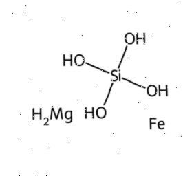 O[Si](O)(O)O.[Fe].[MgH2]